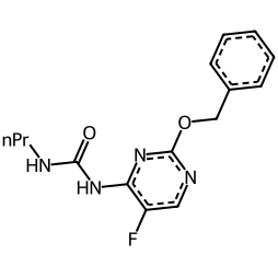 CCCNC(=O)Nc1nc(OCc2ccccc2)ncc1F